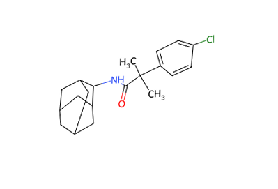 CC(C)(C(=O)NC1C2CC3CC(C2)CC1C3)c1ccc(Cl)cc1